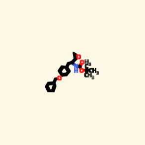 CC(C)(C)OC(=O)NC(Cc1ccc(OCc2ccccc2)cc1)C1CO1